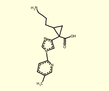 Cc1ccc(-n2cnc(C3(C(=O)O)CC3CCCN)c2)nc1